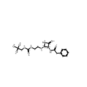 O=C(Cc1ccccc1)N[C@@H]1C(=O)N[C@@H]1SCCOC(=O)OCC(Cl)(Cl)Cl